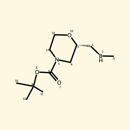 CBC[C@@H]1CN(C(=O)OC(C)(C)C)CCO1